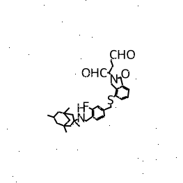 CC1CC2(C)CC(C)(C1)CC(C)(NCc1ccc(CSc3cccc4c3CN(C(C=O)CCC=O)C4=O)cc1F)C2